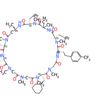 CCC(C)[C@@H]1NC(=O)[C@H](CC(C)C)N(C)C(=O)C[C@@H](C)NC(=O)[C@H](CC(C)C)N(C)C(=O)C(C)(C)NC(=O)[C@H](CC(C)C)N(C)C(=O)[C@H](CCc2ccc(C(F)(F)F)cc2)NC(=O)CN(C)C(=O)[C@H](CC2CCCCC2)N(C)C(=O)CN(C)C(=O)CN(C)C1=O